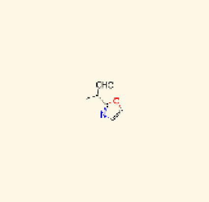 CC(C=O)c1ncco1